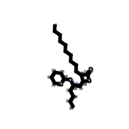 CCCCCCCCCCC1C(=O)OC1/C=C(/CCCC)OC1CCCCO1